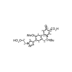 COc1cc2c(cc1-c1cnn(CCC(=O)O)c1)CC(C(C)(C)C)n1cc(C(=O)O)c(=O)cc1-2